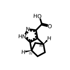 O=C(O)c1n[nH]c2c1[C@@H]1CC[C@H]2C1